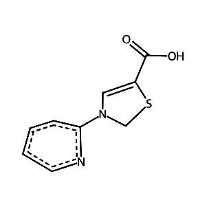 O=C(O)C1=CN(c2ccccn2)CS1